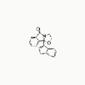 O=C1c2ccccc2C2(C3=CCc4ccccc43)OCCN12